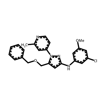 COc1cc(Cl)cc(Nc2cc(COCc3ccccc3)n(-c3ccnc(C)c3)n2)c1